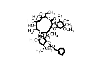 CC[C@H]1OC(=O)[C@H](C)[C@@H](OC2C[C@@](C)(OC)[C@@H](O)[C@H](C)O2)[C@H](C)[C@@H](OC2O[C@H](C)C[C@H](N(C)C)[C@H]2OC(=O)OCc2ccccc2)[C@](C)(OC)C[C@@H](C)[C@H](O)/C(C)=C/[C@]1(C)O